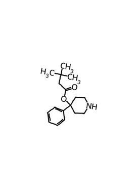 CC(C)(C)CC(=O)OC1(c2ccccc2)CCNCC1